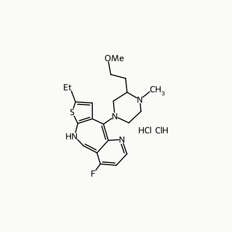 CCc1cc2c(s1)NC=c1c(F)ccnc1=C2N1CCN(C)C(CCOC)C1.Cl.Cl